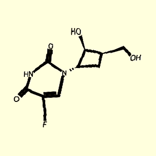 O=c1[nH]c(=O)n([C@H]2C[C@H](CO)[C@@H]2O)cc1F